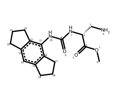 COC(=O)[C@@H](CN)NC(=O)Nc1c2c(cc3c1CCC3)CCC2